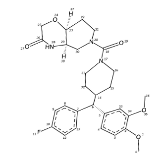 COc1ccc([C@H](c2ccc(F)cc2)C2CCN(C(=O)N3CC[C@@H]4OCC(=O)N[C@@H]4C3)CC2)cc1OC